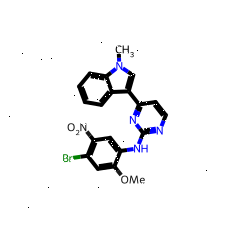 COc1cc(Br)c([N+](=O)[O-])cc1Nc1nccc(-c2cn(C)c3ccccc23)n1